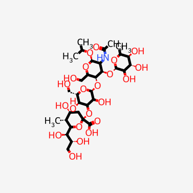 CC(=O)NC1[C@H](OC(C)C)OC(CO)[C@@H](O[C@@H]2O[C@@H](CO)[C@H](O)C(O[C@]3(C(=O)O)C[C@@H](O)[C@@H](C)C([C@H](O)[C@H](O)CO)O3)C2O)[C@@H]1O[C@@H]1OC(C)[C@@H](O)[C@H](O)C1O